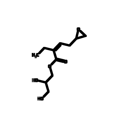 CCC(=CCC1CO1)C(=O)OCC(O)CO